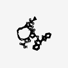 O=C(O)N[C@H]1CCCCC/C=C\C2CC2(C(=O)NS(=O)(=O)C2CC2)NC(=O)[C@@H]2C[C@@H](Oc3nc4ccccc4nc3-c3nc4ccccc4s3)CN2C1=O